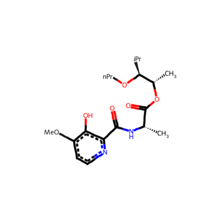 CCCO[C@@H](C(C)C)[C@H](C)OC(=O)[C@H](C)NC(=O)c1nccc(OC)c1O